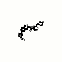 Cn1cc(-c2cc3cc(NC(=O)c4ccnc(CN5CCCC5)c4)ncc3cn2)cn1